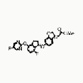 COC(=O)C[C@@H]1COc2cc(O[C@@H]3CCc4c(Oc5ncc(F)cn5)ccc(F)c43)ccc21